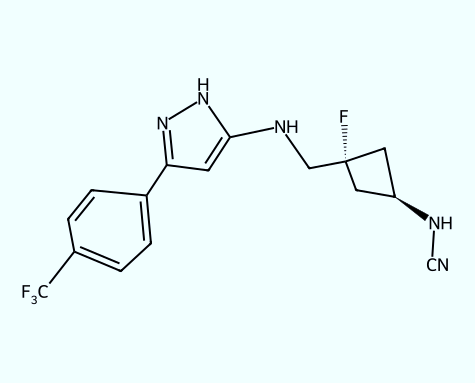 N#CN[C@H]1C[C@@](F)(CNc2cc(-c3ccc(C(F)(F)F)cc3)n[nH]2)C1